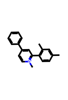 Cc1ccc(-c2cc(-c3ccccc3)cc[n+]2C)c(C)c1